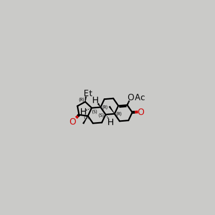 CC[C@@H]1CC(=O)[C@@]2(C)CC[C@H]3[C@@H](CCC4=C(OC(C)=O)C(=O)CC[C@@]43C)[C@H]12